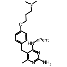 CCCCCNc1nc(N)nc(C)c1Cc1ccc(OCCCN(C)C)cc1